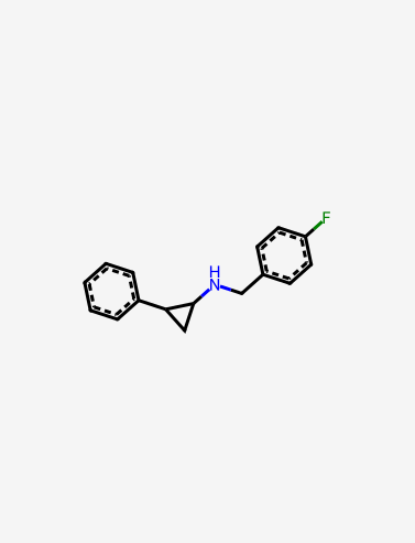 Fc1ccc(CNC2CC2c2ccccc2)cc1